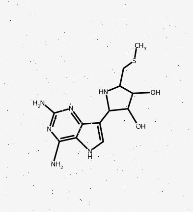 CSCC1NC(c2c[nH]c3c(N)nc(N)nc23)C(O)C1O